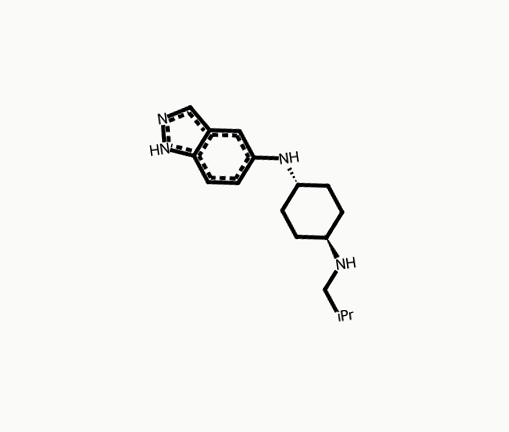 CC(C)CN[C@H]1CC[C@H](Nc2ccc3[nH]ncc3c2)CC1